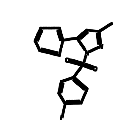 Cc1cc(-c2ccccc2)n(S(=O)(=O)c2ccc(F)cc2)n1